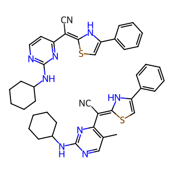 Cc1cnc(NC2CCCCC2)nc1C(C#N)=C1NC(c2ccccc2)=CS1.N#CC(=C1NC(c2ccccc2)=CS1)c1ccnc(NC2CCCCC2)n1